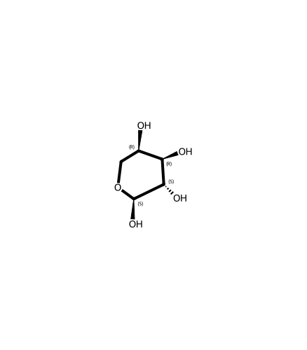 O[C@H]1[C@H](O)[C@@H](O)OC[C@H]1O